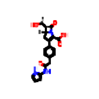 C[C@@H](O)[C@H]1C(=O)N2C(C(=O)O)=C(c3ccc(CC(=O)Nc4ccc[nH]4)cc3)C[C@H]12